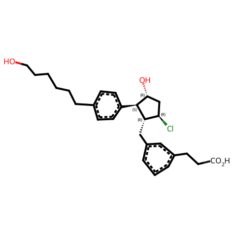 O=C(O)CCc1cccc(C[C@@H]2[C@@H](c3ccc(CCCCCCO)cc3)[C@H](O)C[C@H]2Cl)c1